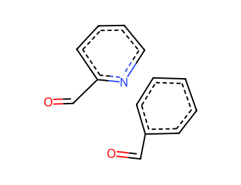 O=Cc1ccccc1.O=Cc1ccccn1